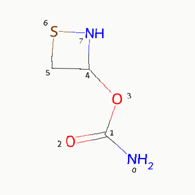 NC(=O)OC1CSN1